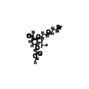 CCCc1c(OCC(=O)OCC)ccc(C(C)=O)c1OCCCOCCCBr